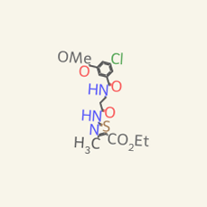 CCOC(=O)c1sc(NC(=O)CCNC(=O)c2cc(Cl)cc(C(=O)OC)c2)nc1C